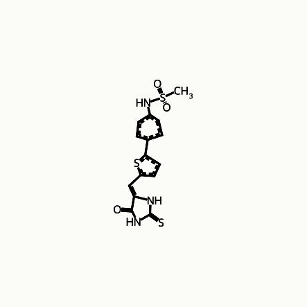 CS(=O)(=O)Nc1ccc(-c2ccc(/C=C3\NC(=S)NC3=O)s2)cc1